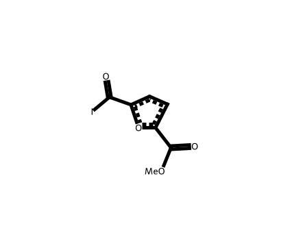 COC(=O)c1ccc(C(=O)I)o1